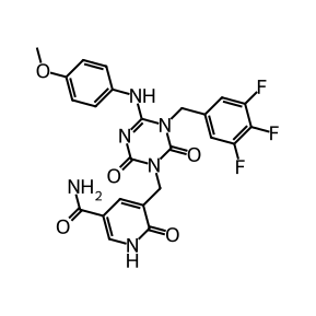 COc1ccc(Nc2nc(=O)n(Cc3cc(C(N)=O)c[nH]c3=O)c(=O)n2Cc2cc(F)c(F)c(F)c2)cc1